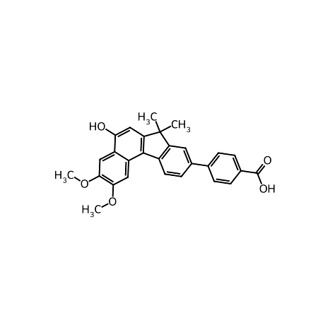 COc1cc2c(O)cc3c(c2cc1OC)-c1ccc(-c2ccc(C(=O)O)cc2)cc1C3(C)C